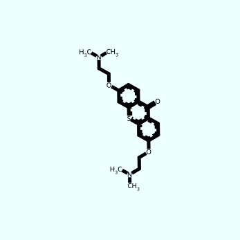 CN(C)CCOc1ccc2c(=O)c3ccc(OCCN(C)C)cc3sc2c1